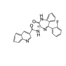 O=C(N[C@H]1N=C(c2ccccc2F)c2ccccc2NC1=O)c1cnc2ccccc2c1